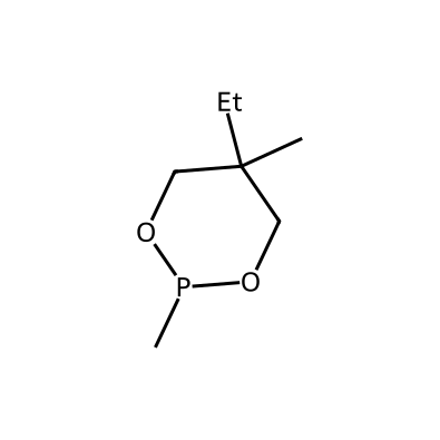 CCC1(C)COP(C)OC1